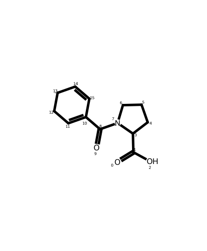 O=C(O)C1CCCN1C(=O)C1=CC[CH]C=C1